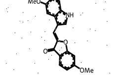 COc1ccc2c(c1)OC(=Cc1c[nH]c3ccc(OC)cc13)C2=O